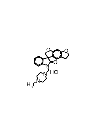 CN1CCN(CN2C(=O)C3(COc4cc5c(cc43)CCO5)c3ccccc32)CC1.Cl